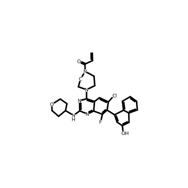 C=CC(=O)N1CCN(c2nc(NC3CCOCC3)nc3c(F)c(-c4cc(O)cc5ccccc45)c(Cl)cc23)CC1